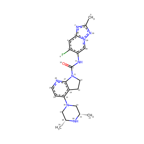 Cc1nc2cc(F)c(NC(=O)N3CCc4c(N5C[C@@H](C)N[C@@H](C)C5)ccnc43)cn2n1